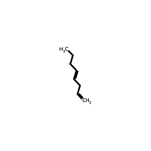 C=CC/C=C/[CH]CC